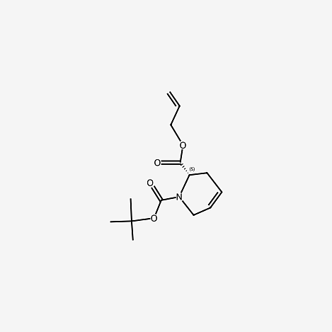 C=CCOC(=O)[C@@H]1CC=CCN1C(=O)OC(C)(C)C